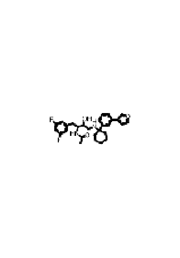 CC(=O)NC(Cc1cc(F)cc(F)c1)C(O)CNC1(c2cccc(-c3ccoc3)c2)CCCCC1